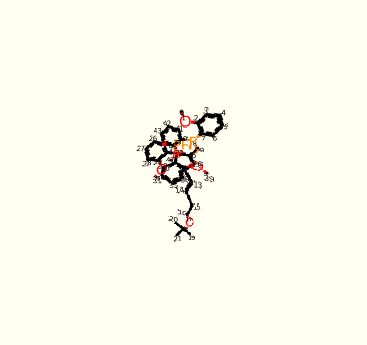 COc1ccccc1P(CC(CCCCCCOC(C)(C)C)C(P)(c1ccccc1OC)c1ccccc1OC)c1ccccc1OC